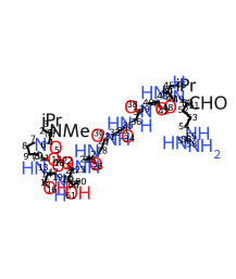 CN[C@@H](CC(C)C)C(=O)N1CCC[C@H]1C(=O)NC(CO)C(=O)N[C@H](C(=O)NCC(=O)NCC(=O)NCC(=O)NCC(=O)NCC(=O)N[C@@H](CC(C)C)C(=O)N[C@H](C=O)CCCNC(=N)N)[C@@H](C)O